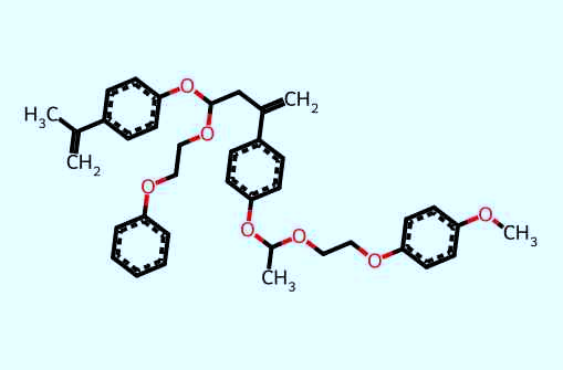 C=C(C)c1ccc(OC(CC(=C)c2ccc(OC(C)OCCOc3ccc(OC)cc3)cc2)OCCOc2ccccc2)cc1